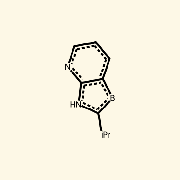 CC(C)c1bc2cccnc2[nH]1